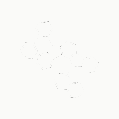 c1ccc(-c2ccccc2-n2c3ccccc3c3c2ccc2c4ccccc4n(-c4cccc5ccccc45)c23)cc1